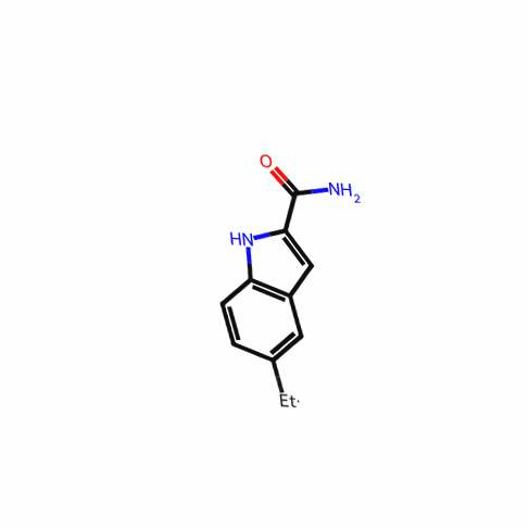 C[CH]c1ccc2[nH]c(C(N)=O)cc2c1